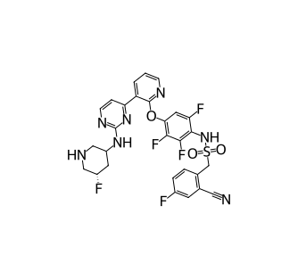 N#Cc1cc(F)ccc1CS(=O)(=O)Nc1c(F)cc(Oc2ncccc2-c2ccnc(NC3CNC[C@@H](F)C3)n2)c(F)c1F